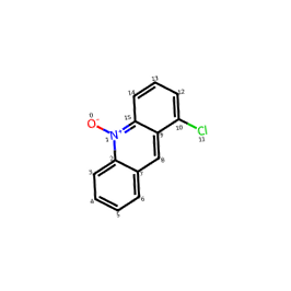 [O-][n+]1c2ccccc2cc2c(Cl)cccc21